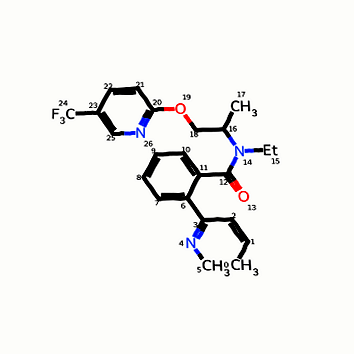 C/C=C\C(=N/C)c1ccccc1C(=O)N(CC)C(C)COc1ccc(C(F)(F)F)cn1